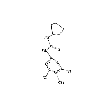 Oc1c(Cl)cc(NC(=S)NC2CCCC2)cc1Cl